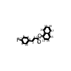 O=C(/C=C/c1ccc(F)cc1)Oc1cccc2ccc[c]c12